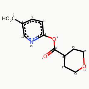 O=C(O)c1ccc(OC(=O)C2CCOCC2)nc1